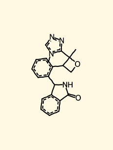 Cn1cnnc1C1(C)OCC1c1ccccc1C1NC(=O)c2ccccc21